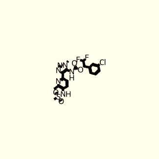 Cc1nc(-c2nnn(C)c2NC(=O)OC(c2cccc(Cl)c2)C(F)F)ccc1NS(C)(=O)=O